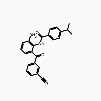 CC(C)c1ccc(C(=O)Nc2c(N)cccc2C(=O)c2cccc(C#N)c2)cc1